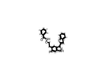 O=C(NOCCc1cc2c(-c3cc4ccccc4s3)n[nH]c2cc1F)c1ccccc1